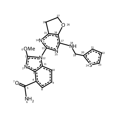 COc1nc2c(C(N)=O)cccc2n1-c1nc2c(c(NCc3cccs3)n1)OCC2